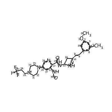 COc1cc(C)cc(CCC2=NNC(NC(=O)c3ncc(N4CCN(CCC(F)(F)F)CC4)cc3NC=O)C2)c1